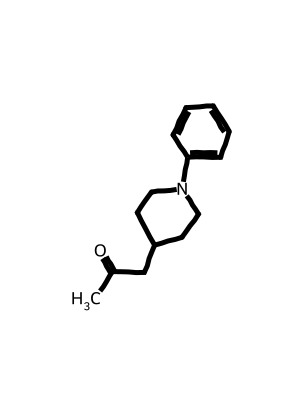 CC(=O)CC1CCN(c2ccccc2)CC1